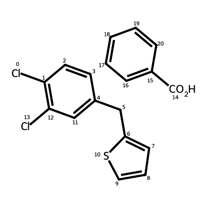 Clc1ccc(Cc2cccs2)cc1Cl.O=C(O)c1ccccc1